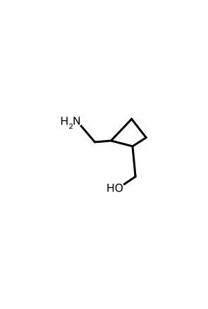 NCC1CCC1CO